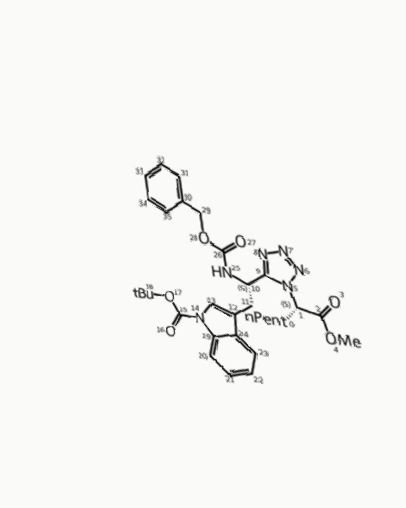 CCCCC[C@@H](C(=O)OC)n1nnnc1[C@H](Cc1cn(C(=O)OC(C)(C)C)c2ccccc12)NC(=O)OCc1ccccc1